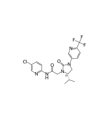 CC(C)[C@H]1CN(c2ccc(C(F)(F)F)nc2)C(=O)N1CC(=O)Nc1ccc(Cl)cn1